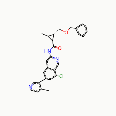 Cc1ccncc1-c1cc(Cl)c2cnc(NC(=O)[C@H]3C(C)[C@@H]3COCc3ccccc3)cc2c1